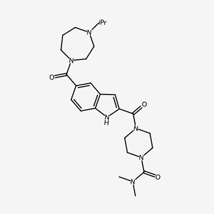 CC(C)N1CCCN(C(=O)c2ccc3[nH]c(C(=O)N4CCN(C(=O)N(C)C)CC4)cc3c2)CC1